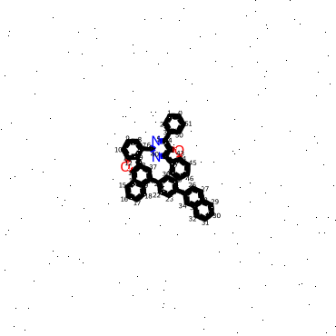 c1ccc(-c2nc(-c3cccc4oc5c6ccccc6c(-c6ccc(-c7ccc8ccccc8c7)cc6)cc5c34)nc3c2oc2ccccc23)cc1